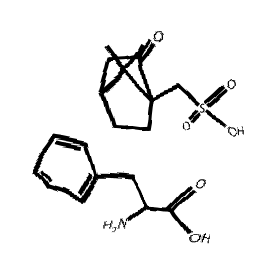 CC1(C)C2CCC1(CS(=O)(=O)O)C(=O)C2.NC(Cc1ccccc1)C(=O)O